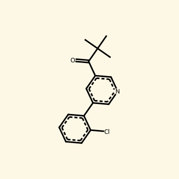 CC(C)(C)C(=O)c1cncc(-c2ccccc2Cl)c1